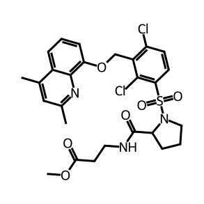 COC(=O)CCNC(=O)C1CCCN1S(=O)(=O)c1ccc(Cl)c(COc2cccc3c(C)cc(C)nc23)c1Cl